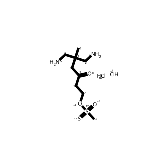 CC(CN)(CN)CC(=O)CCOS(C)(=O)=S.Cl.Cl